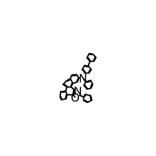 c1ccc(-c2ccc(N(c3ccccc3)c3ccc4ccc5c6ccccc6c6oc(-c7ccccc7)nc6c5c4c3)cc2)cc1